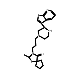 CC1SC2(CCCC2)C(=O)N1CCCN1CCNC(c2csc3ncccc23)C1